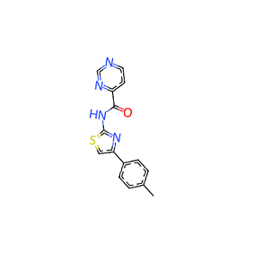 Cc1ccc(-c2csc(NC(=O)c3ccncn3)n2)cc1